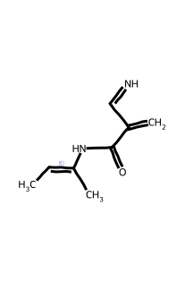 C=C(C=N)C(=O)N/C(C)=C/C